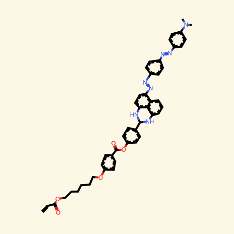 C=CC(=O)OCCCCCCOc1ccc(C(=O)Oc2ccc(C3Nc4cccc5c(N=Nc6ccc(N=Nc7ccc(N(C)C)cc7)cc6)ccc(c45)N3)cc2)cc1